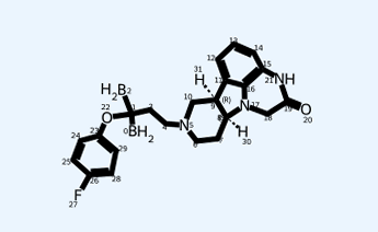 BC(B)(CCN1CC[C@H]2[C@@H](C1)c1cccc3c1N2CC(=O)N3)Oc1ccc(F)cc1